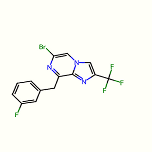 Fc1cccc(Cc2nc(Br)cn3cc(C(F)(F)F)nc23)c1